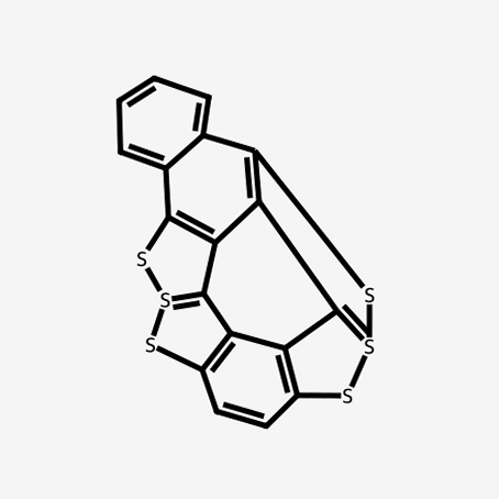 c1ccc2c3c4c5c6c(ccc7c6c6c4c(c2c1)SS=6S7)SS=5S3